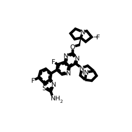 Nc1nc2c(-c3cnc4c(N5CC6CCC(C5)N6)nc(OC[C@@]56CCCN5C[C@H](F)C6)nc4c3F)ccc(F)c2s1